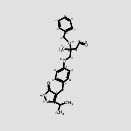 CC(C)c1[nH][nH]c(=O)c1Cc1ccc(OCC(C)(CC=O)OCc2ccccc2)cc1